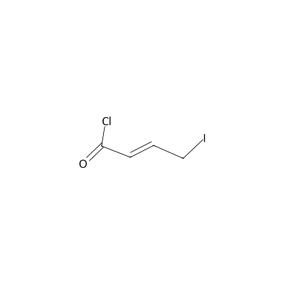 O=C(Cl)C=CCI